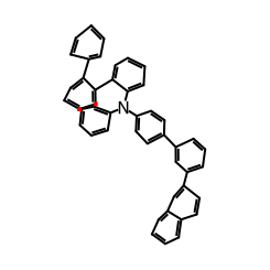 c1ccc(-c2ccccc2-c2ccccc2N(c2ccccc2)c2ccc(-c3cccc(-c4ccc5ccccc5c4)c3)cc2)cc1